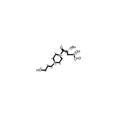 CCCC[C@H](CN(O)C=O)C(=O)N1CCN(CCCO)CC1